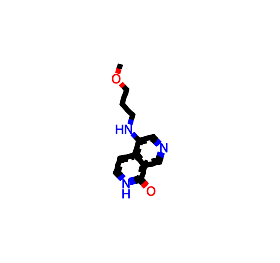 COCCCNc1cncc2c(=O)[nH]ccc12